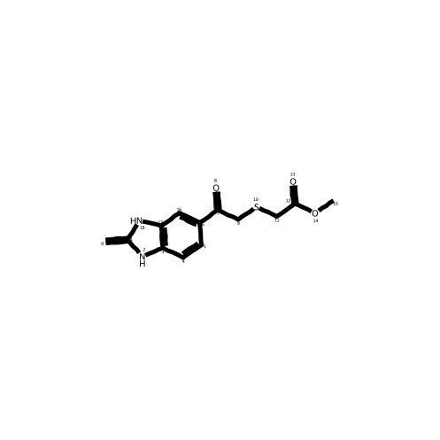 C=C1Nc2ccc(C(=O)CSCC(=O)OC)cc2N1